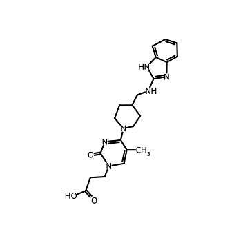 Cc1cn(CCC(=O)O)c(=O)nc1N1CCC(CNc2nc3ccccc3[nH]2)CC1